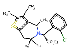 [2H]C1([2H])Cc2sc(C)c(C)c2C(C)N1[C@H](C(=O)OCC)c1ccccc1Cl